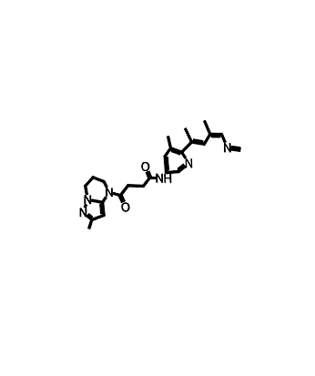 C=N/C=C(C)\C=C(/C)c1ncc(NC(=O)CCC(=O)N2CCCn3nc(C)cc32)cc1C